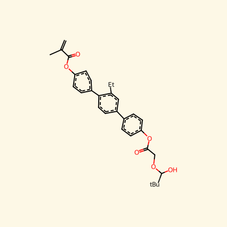 C=C(C)C(=O)Oc1ccc(-c2ccc(-c3ccc(OC(=O)COC(O)C(C)(C)C)cc3)cc2CC)cc1